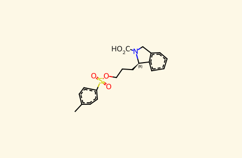 Cc1ccc(S(=O)(=O)OCCC[C@@H]2c3ccccc3CN2C(=O)O)cc1